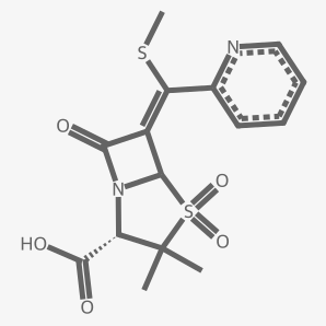 CS/C(=C1\C(=O)N2C1S(=O)(=O)C(C)(C)[C@@H]2C(=O)O)c1ccccn1